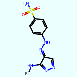 CCNC1=NN=C/C1=N\Nc1ccc(S(N)(=O)=O)cc1